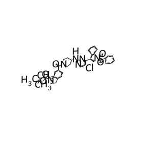 CC(C)(C)OC(=O)N1CCc2ccc(C(=O)N3CCC(Nc4ncc(Cl)c(-c5cn(S(=O)(=O)c6ccccc6)c6ccccc56)n4)CC3)cc21